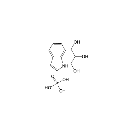 O=P(O)(O)O.OCC(O)CO.c1ccc2[nH]ccc2c1